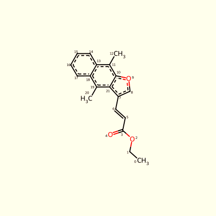 CCOC(=O)/C=C/c1coc2c(C)c3ccccc3c(C)c12